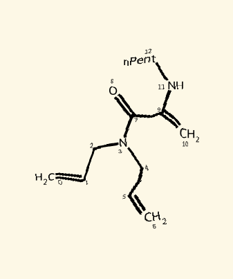 C=CCN(CC=C)C(=O)C(=C)NCCCCC